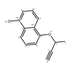 C#CC(C)Oc1cccc2c1ccc[n+]2[O-]